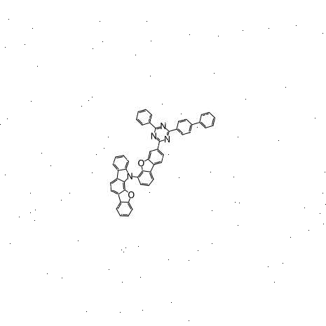 c1ccc(-c2ccc(-c3nc(-c4ccccc4)nc(-c4ccc5c(c4)oc4c(-n6c7ccccc7c7ccc8c9ccccc9oc8c76)cccc45)n3)cc2)cc1